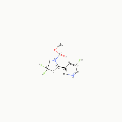 CC(C)(C)OC(=O)N1CC(F)(F)C[C@@H]1c1cncc(F)c1